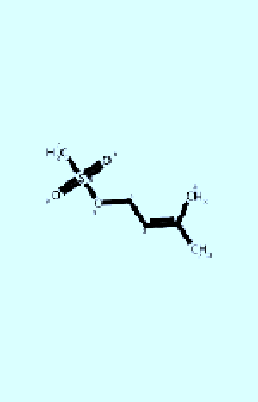 CC(C)=CCOS(C)(=O)=O